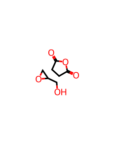 O=C1CCC(=O)O1.OCC1CO1